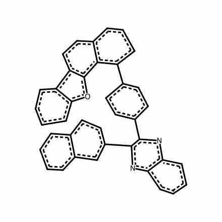 c1ccc2cc(-c3nc4ccccc4nc3-c3ccc(-c4cccc5ccc6c7ccccc7oc6c45)cc3)ccc2c1